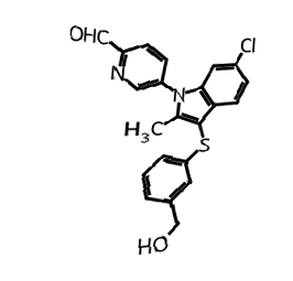 Cc1c(Sc2cccc(CO)c2)c2ccc(Cl)cc2n1-c1ccc(C=O)nc1